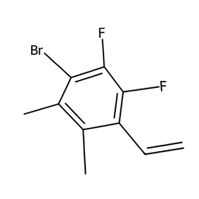 C=Cc1c(C)c(C)c(Br)c(F)c1F